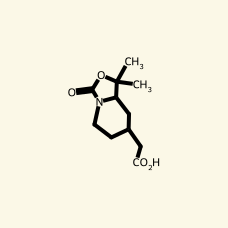 CC1(C)OC(=O)N2CCC(CC(=O)O)CC21